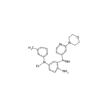 CCN(c1cccc(C)c1)c1ccc(N)c(C(=N)c2ccnc(N3CCOCC3)c2)c1